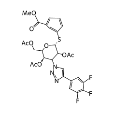 COC(=O)c1cccc(S[C@H]2OC(COC(C)=O)[C@H](OC(C)=O)C(n3cc(-c4cc(F)c(F)c(F)c4)nn3)C2OC(C)=O)c1